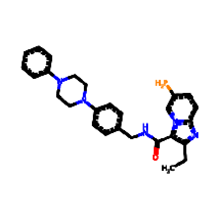 CCc1nc2ccc(P)cn2c1C(=O)NCc1ccc(N2CCN(c3ccccc3)CC2)cc1